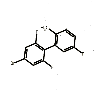 Cc1[c]cc(F)cc1-c1c(F)cc(Br)cc1F